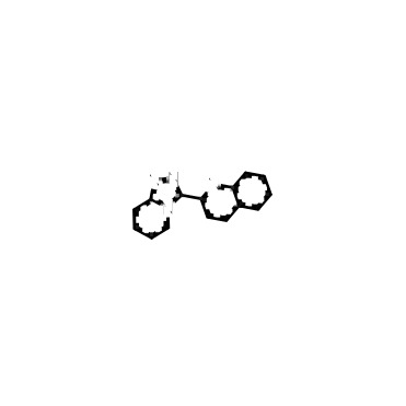 [c]1cccc2ccc(-c3nnc4ccccn34)nc12